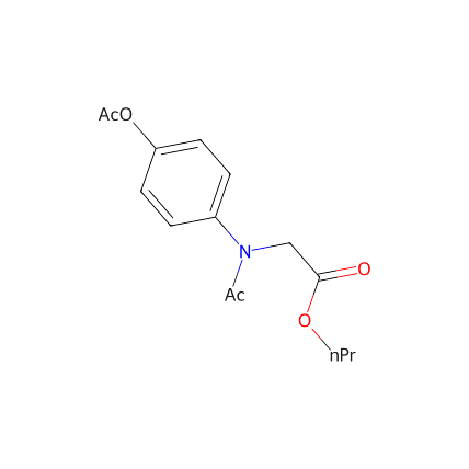 CCCOC(=O)CN(C(C)=O)c1ccc(OC(C)=O)cc1